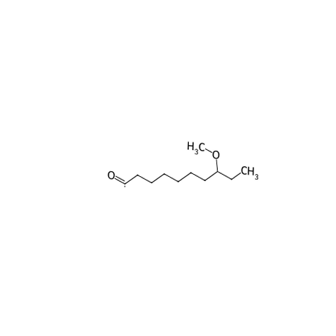 CCC(CCCCCC[C]=O)OC